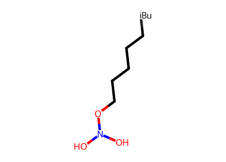 CCC(C)CCCCCON(O)O